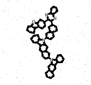 c1ccc2cc3c(cc2c1)c1ccccc1n3-c1ccc2cc3c4ccccc4n(-c4ccc5ccc(-c6nc7ccccc7nc6-c6ccc7c(c6)oc6ccccc67)cc5c4)c3cc2c1